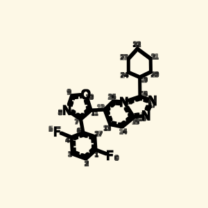 Fc1ccc(F)c(-c2ncoc2-c2ccc3nnc(C4CCCCC4)n3c2)c1